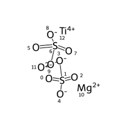 O=S(=O)([O-])[O-].O=S(=O)([O-])[O-].[Mg+2].[O-2].[Ti+4]